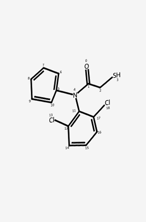 O=C(CS)N(c1ccccc1)c1c(Cl)cccc1Cl